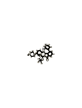 CN1CCN(c2ccc(NC3c4c(cccc4-c4ccncc4)C(=O)N3C(=O)OC(C)(C)C)nc2)CC1